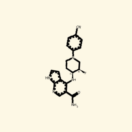 N#Cc1ccc(N2CC[C@H](Nc3c(C(N)=O)cnc4[nH]ccc34)[C@H](F)C2)cc1